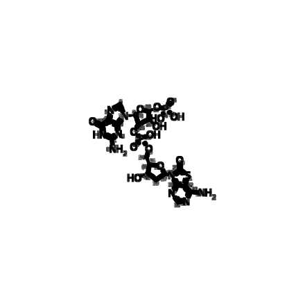 Nc1nc2c(ncn2[C@@H]2O[C@H](OP(=O)(O)O)[C@H](O)C2OP(=O)(O)OC[C@H]2O[C@@H](n3c(=O)sc4c(N)ncnc43)C[C@@H]2O)c(=O)[nH]1